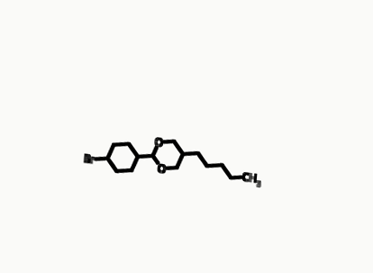 CCCCCC1COC(C2CCC(Br)CC2)OC1